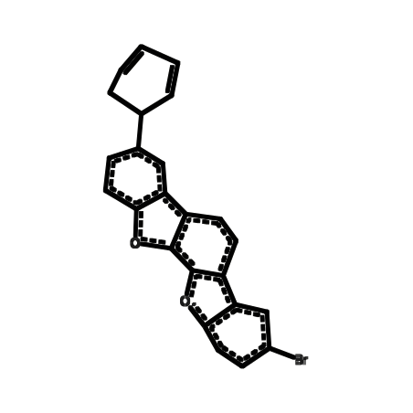 Brc1ccc2oc3c(ccc4c5cc(C6C=CC=CC6)ccc5oc43)c2c1